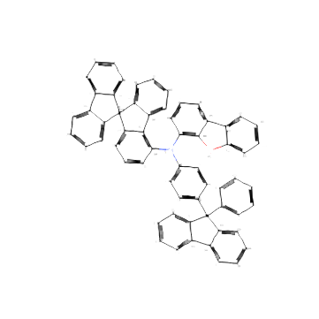 c1ccc(C2(c3ccc(N(c4cccc5c4-c4ccccc4C54c5ccccc5-c5ccccc54)c4cccc5c4oc4ccccc45)cc3)c3ccccc3-c3ccccc32)cc1